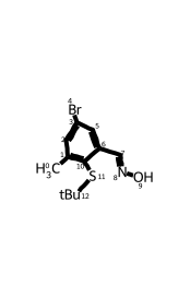 Cc1cc(Br)cc(C=NO)c1SC(C)(C)C